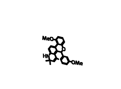 COc1cccc(C2Oc3cccc(OC)c3-c3ccc4c(c32)C(C)=CC(C)(C)N4)c1